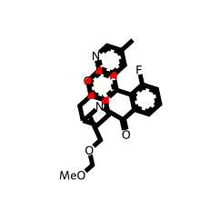 COCOCC1C2CCC(C(Oc3ccc(C)cn3)C2)N1C(=O)c1cccc(F)c1-c1ncccn1